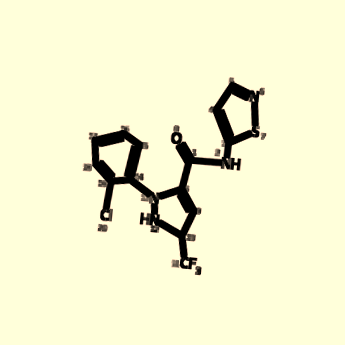 O=C(Nc1ccns1)C1=CC(C(F)(F)F)NN1c1ccccc1Cl